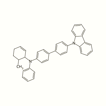 CC1CCC=CC1N(c1ccccc1)c1ccc(-c2ccc(-n3c4ccccc4c4ccccc43)cc2)cc1